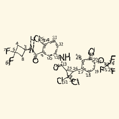 O=C(NC1CC(F)(F)C1)c1cc(NC(=O)C2C(c3ccc(OC(F)(F)F)c(Cl)c3)C2(Cl)Cl)ccc1Cl